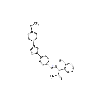 CC(C)c1ccccc1N(/N=C/c1ccc(-c2ncn(-c3ccc(OC(F)(F)F)cc3)n2)cc1)C(N)=S